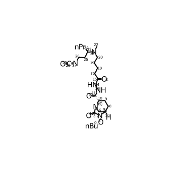 CCCCON1C(=O)N2C[C@@H]1CC[C@H]2C(=O)NNC(=O)CCCCN(C)C(CCC)CCN=C=O